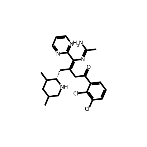 C/C(N)=N/C(=C(\CC(=O)c1cccc(Cl)c1Cl)C[C@@H]1NCC(C)CC1C)c1ncccn1